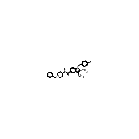 Cc1c(C)n(Cc2ccc(F)cc2)c2ccc(C(=O)NC3CCN(Cc4ccccc4)CC3)cc12